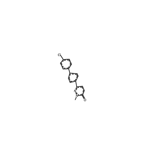 Cn1nc(-c2ccc(-c3ccc(Cl)cc3)cc2)ccc1=O